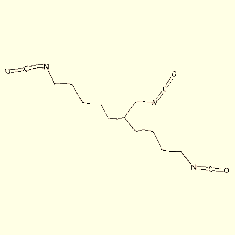 O=C=NCCCCCC(CCCCN=C=O)CN=C=O